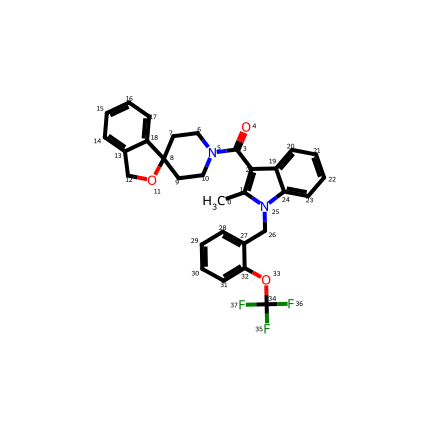 Cc1c(C(=O)N2CCC3(CC2)OCc2ccccc23)c2ccccc2n1Cc1ccccc1OC(F)(F)F